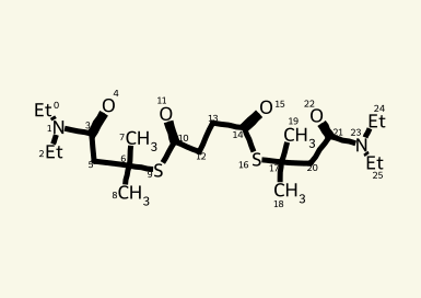 CCN(CC)C(=O)CC(C)(C)SC(=O)CCC(=O)SC(C)(C)CC(=O)N(CC)CC